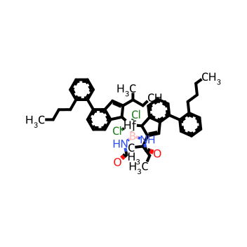 CCCCc1ccccc1-c1cccc2c1C=C(C(C)CC)[CH]2[Hf]([Cl])([Cl])([B](NC=O)NC=O)[CH]1C(C(C)CC)=Cc2c(-c3ccccc3CCCC)cccc21